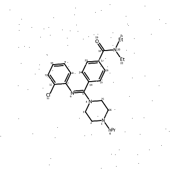 CCCN1CCN(C(=Nc2ccccc2Cl)c2ccc(C(=O)N(CC)CC)cc2)CC1